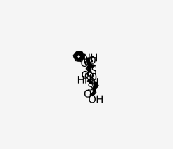 O=C(O)Cc1cnc(NS(=O)(=O)c2cc(S(=O)(=O)Nc3ccccc3)cs2)s1